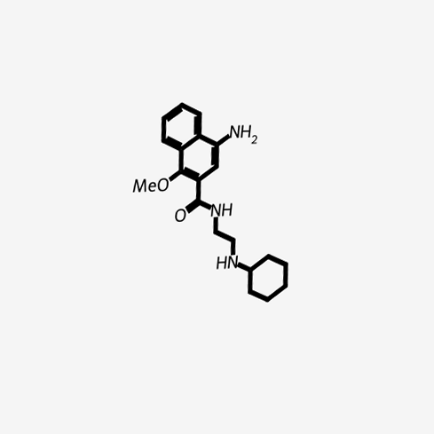 COc1c(C(=O)NCCNC2CCCCC2)cc(N)c2ccccc12